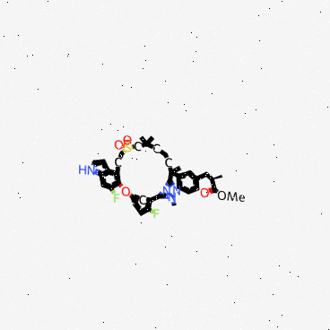 COC(=O)[C@H](C)Cc1cccc(C2(C)CCCC(C)(C)CS(=O)(=O)CCc3c(c(F)cc4[nH]ccc34)Oc3ccc(F)c(c3)-c3nc2nn3C)c1